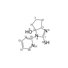 OC12CCCC1N=C(S)N2c1ccccn1